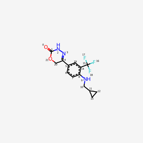 O=C1NN=C(c2ccc(NCC3CC3)c(C(F)(F)F)c2)CO1